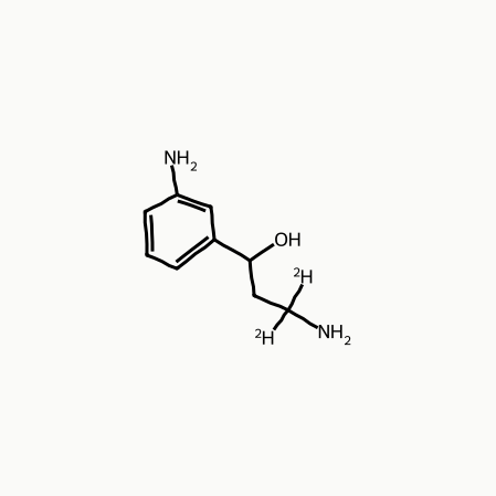 [2H]C([2H])(N)CC(O)c1cccc(N)c1